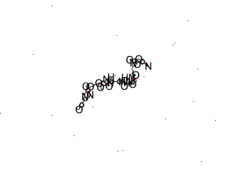 C=C1c2cc(OC)c(OCCCOc3cc4c(cc3OC)C(=O)N3C=C(c5ccc(NC(=O)C(C)NC(=O)C(NC(=O)CCCCCN6C(=O)C=C(Oc7ccc(C#N)cc7)C6=O)C(C)C)cc5)C[C@H]3C=N4)cc2N=CC2CC(c3ccc(OC)cc3)=CN12